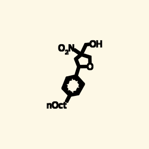 CCCCCCCCc1ccc(C2CC(CO)([N+](=O)[O-])CO2)cc1